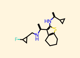 C=C(NCC1CC1F)c1c(NC(=C)C2CC2)sc2c1CCCC2